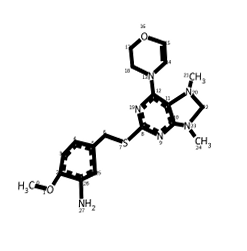 COc1ccc(CSc2nc3c(c(N4C=COCC4)n2)N(C)CN3C)cc1N